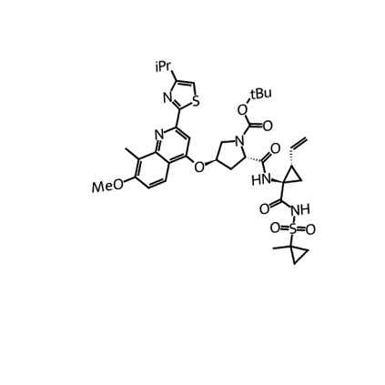 C=C[C@@H]1C[C@]1(NC(=O)[C@@H]1C[C@@H](Oc2cc(-c3nc(C(C)C)cs3)nc3c(C)c(OC)ccc23)CN1C(=O)OC(C)(C)C)C(=O)NS(=O)(=O)C1(C)CC1